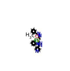 Cc1ccccc1-c1nnc(CSc2nnc(-c3ccncc3)n2-c2ccccc2Cl)o1